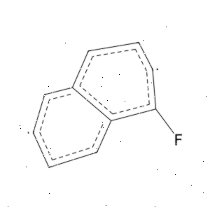 Fc1[c]ccc2c[c]ccc12